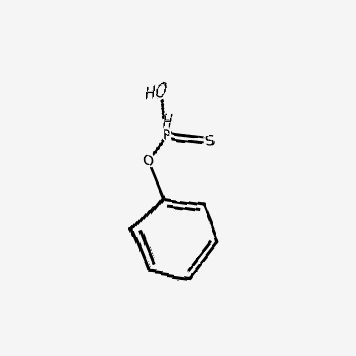 O[PH](=S)Oc1ccccc1